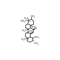 CC1CC[C@@]2(C)C(CC[C@]3(C)C2C(=O)C=C2C4[C@@H](C)[C@H](C)CC[C@]4(C)CC[C@]23C)[C@@]1(C)C(=O)O